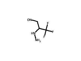 NNC(CN=O)C(F)(F)F